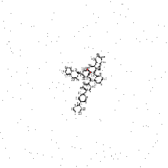 c1ccc(-c2ccc(-c3ccc(N(c4cccc(-c5ccc6ccccc6c5)c4)c4ccccc4-c4cccc5c4sc4ccccc45)cc3)cc2)cc1